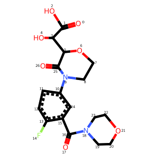 O=C(O)C(O)C1OCCN(c2ccc(F)c(C(=O)N3CCOCC3)c2)C1=O